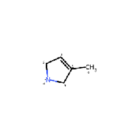 CC1=CC[N]C1